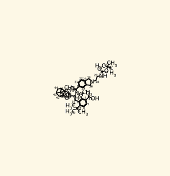 COc1c(C(=O)O)ccc(C(C)(C)C)c1C[C@H](NC(=O)c1ccc2c(c1)CN(CCNC(=O)OC(C)(C)C)C2)B1OC2CC3CC(C3(C)C)C2(C)O1